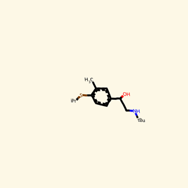 Cc1cc(C(O)CNC(C)(C)C)ccc1SC(C)C